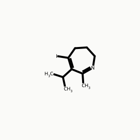 CC1=NCCCC(I)=C1C(C)C